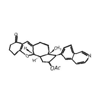 CC(=O)OC1C[C@H]2[C@@H]3OC4=C(C=C3CC[C@]2(C)[C@H]1c1ccc2cnccc2c1)C(=O)CCC4